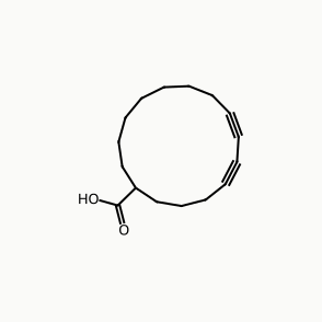 O=C(O)C1CCCC#CC#CCCCCCCC1